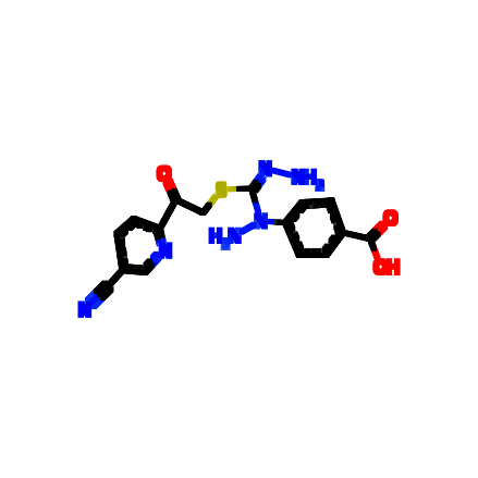 N#Cc1ccc(C(=O)CS/C(=N/N)N(N)c2ccc(C(=O)O)cc2)nc1